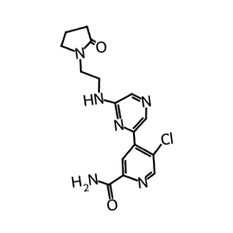 NC(=O)c1cc(-c2cncc(NCCN3CCCC3=O)n2)c(Cl)cn1